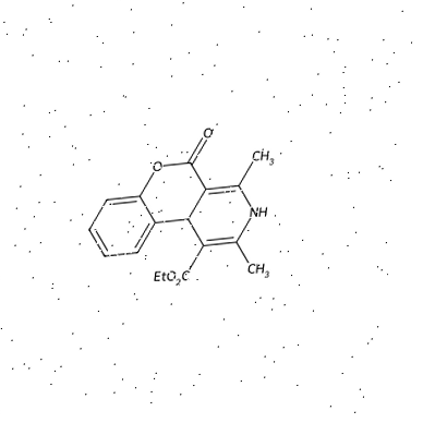 CCOC(=O)C1=C(C)NC(C)=C2C(=O)Oc3ccccc3C12